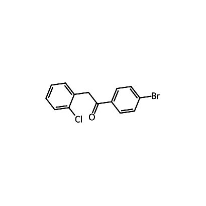 O=C(Cc1ccccc1Cl)c1ccc(Br)cc1